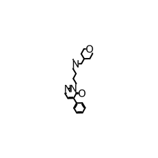 CN(CCCCn1nccc(-c2ccccc2)c1=O)CC1CCOCC1